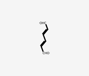 O=[C]C=C/C=C/[C]=O